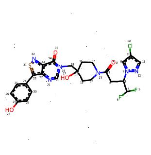 O=C(CC(C(F)F)n1cc(Cl)cn1)N1CCC(O)(Cn2cnc3c(-c4ccc(O)cc4)snc3c2=O)CC1